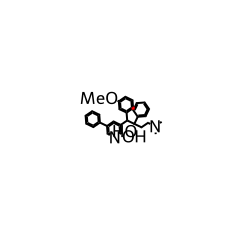 COc1cccc(C(c2cc(-c3ccccc3)cnc2O)C(O)(CCN(C)C)C2=C=C=CC=C2)c1